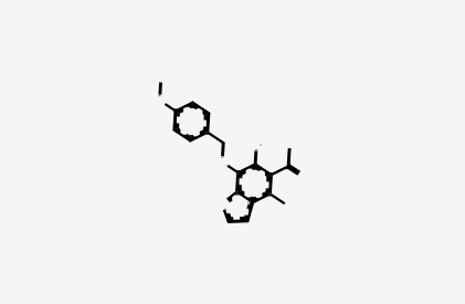 COc1ccc(COc2c(O)c(C(C)=O)c(C)c3ccoc23)cc1